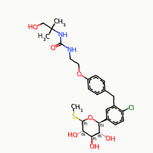 CS[C@H]1O[C@@H](c2ccc(Cl)c(Cc3ccc(OCCNC(=O)NC(C)(C)CO)cc3)c2)[C@H](O)[C@@H](O)[C@@H]1O